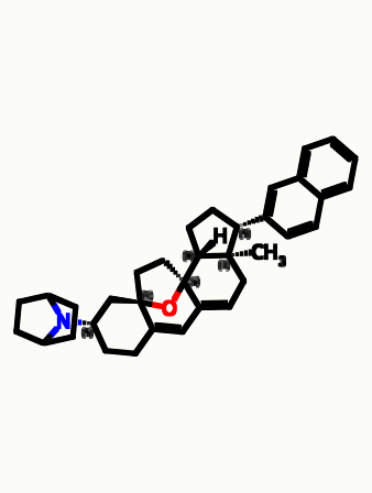 C[C@]12CC=C3C=C4CC[C@H](N5C6CCC5CC6)C[C@]45CC[C@]3(O5)[C@@H]1CC[C@@H]2c1ccc2ccccc2c1